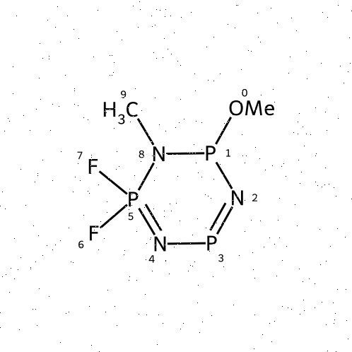 COP1N=PN=P(F)(F)N1C